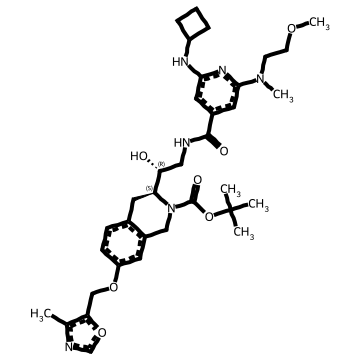 COCCN(C)c1cc(C(=O)NC[C@@H](O)[C@@H]2Cc3ccc(OCc4ocnc4C)cc3CN2C(=O)OC(C)(C)C)cc(NC2CCC2)n1